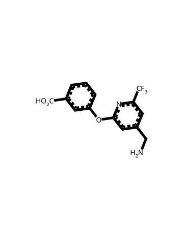 NCc1cc(Oc2cccc(C(=O)O)c2)nc(C(F)(F)F)c1